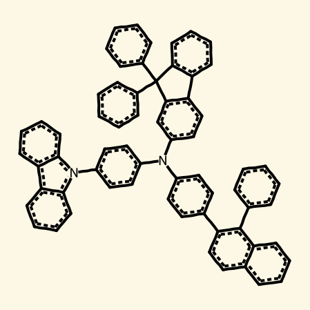 c1ccc(-c2c(-c3ccc(N(c4ccc(-n5c6ccccc6c6ccccc65)cc4)c4ccc5c(c4)C(c4ccccc4)(c4ccccc4)c4ccccc4-5)cc3)ccc3ccccc23)cc1